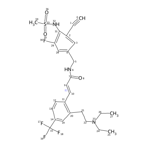 C#Cc1cc(CNC(=O)/C=C/c2ccc(C(F)(F)F)cc2CCN(CC)CC)cc(F)c1NS(C)(=O)=O